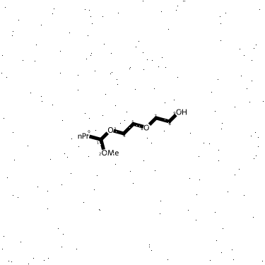 CCCC(OC)OCCOCCO